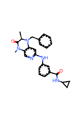 CC1C(=O)N(C)c2cnc(Nc3cccc(C(=O)NC4CC4)c3)cc2N1Cc1ccccc1